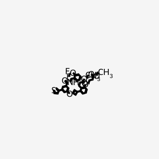 CCOC(=O)CCCOc1cccc(C2C=C(Oc3cc(C(=O)NCc4ccccc4OC(F)F)cc(-c4ccsc4)c3)C2)c1CCC(=O)OCC